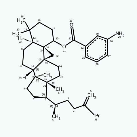 C=C(CC[C@@H](C)[C@H]1CC[C@@]2(C)[C@@H]3CC[C@H]4C(C)(C)CCC(OC(=O)c5cccc(N)c5)[C@@]45C[C@@]35CC[C@]12C)C(C)C